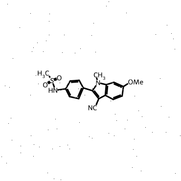 COc1ccc2c(C#N)c(-c3ccc(NS(C)(=O)=O)cc3)n(C)c2c1